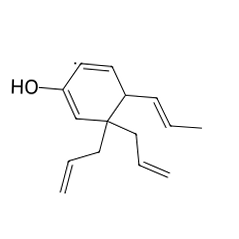 C=CCC1(CC=C)C=C(O)[C]=CC1/C=C/C